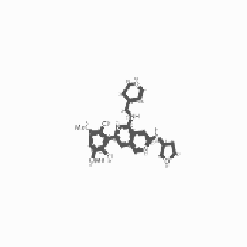 COc1cc(OC)c(Cl)c(-c2cc3cnc(NC4CCOC4)cc3c(NCC3CCOCC3)n2)c1Cl